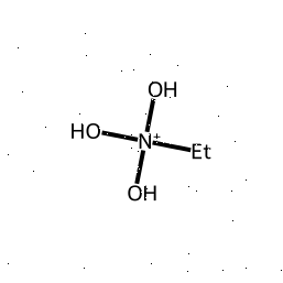 CC[N+](O)(O)O